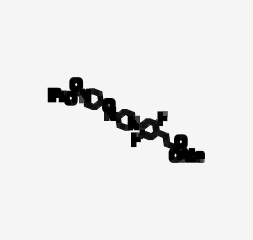 COC(=O)C=Cc1cc(F)c(N2CCC(=NOC3CCN(C(=O)OC(C)C)CC3)CC2)cc1F